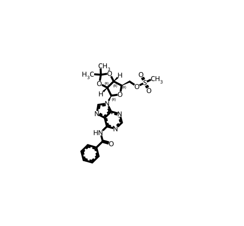 CC1(C)O[C@@H]2[C@H](O1)[C@@H](COS(C)(=O)=O)O[C@H]2n1cnc2c(NC(=O)c3ccccc3)ncnc21